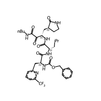 CCCCNC(=O)C(=O)[C@H](C[C@@H]1CCNC1=O)NC(=O)[C@H](CC(C)C)NC(=O)[C@H](Cc1cccc(C(F)(F)F)n1)NC(=O)OCc1ccccc1